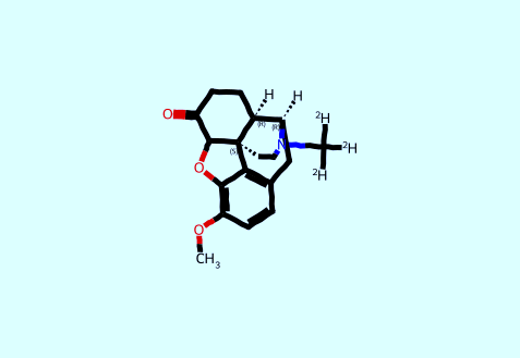 [2H]C([2H])([2H])N1CC[C@]23c4c5ccc(OC)c4OC2C(=O)CC[C@H]3[C@H]1C5